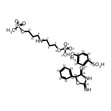 CS(=O)(=O)OCCCNCCCOS(C)(=O)=O.Cc1ccc(S(=O)(=O)O)cc1.N=C1NC(=O)C(c2ccccc2)O1